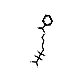 O=C(SCCCCC(F)(F)C(F)(F)C(F)F)c1ccccc1